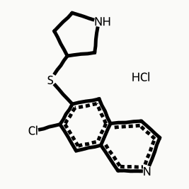 Cl.Clc1cc2cnccc2cc1SC1CCNC1